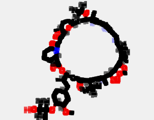 [2H]C([2H])([2H])O[C@H]1C[C@@H]2CC[C@@H](C)[C@@](O)(O2)C(=O)C(=O)N2CCCC[C@H]2C(=O)O[C@H]([C@H](C)C[C@@H]2CC[C@@H](OC([2H])([2H])C([2H])([2H])O)[C@H](OC)C2)CC(=O)[C@H](C([2H])([2H])[2H])/C=C(\C)[C@@H](O)[C@@H](OC)C(=O)[C@H](C)C([2H])(C)[C@]([2H])(C)/C=C/C=C/C=C/1C